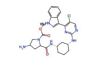 CC(C)(C)OC(=O)N1CC(N)CC1C(=O)N[C@H]1CCC[C@@H](Nc2ncc(Cl)c(-c3c[nH]c4ccccc34)n2)C1